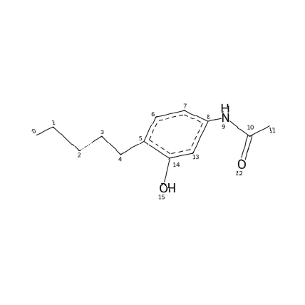 CCCCCc1ccc(NC(C)=O)cc1O